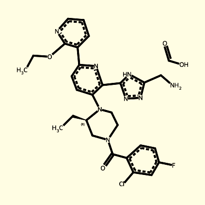 CCOc1ncccc1-c1ccc(N2CCN(C(=O)c3ccc(F)cc3Cl)C[C@H]2CC)c(-c2nnc(CN)[nH]2)n1.O=CO